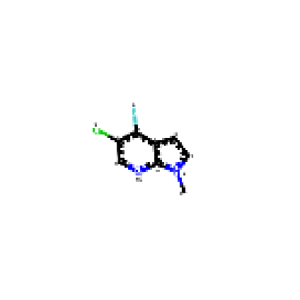 Cn1ccc2c(F)c(Cl)cnc21